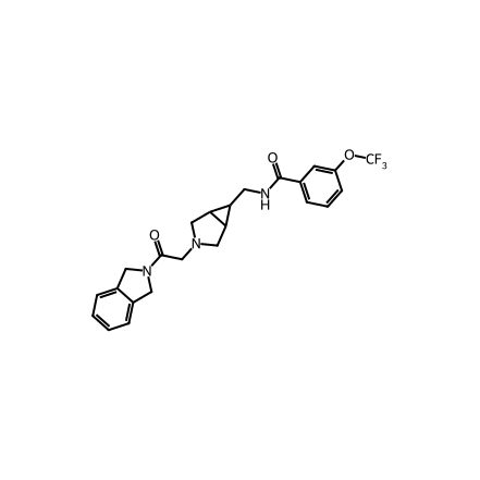 O=C(NCC1C2CN(CC(=O)N3Cc4ccccc4C3)CC12)c1cccc(OC(F)(F)F)c1